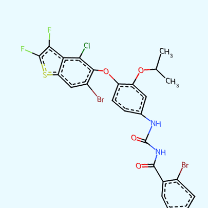 CC(C)Oc1cc(NC(=O)NC(=O)c2ccccc2Br)ccc1Oc1c(Br)cc2sc(F)c(F)c2c1Cl